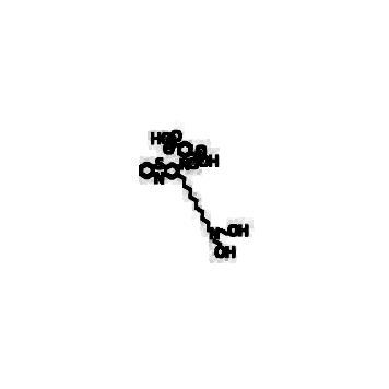 O=S(=O)(O)c1ccc(S(=O)(=O)O)c(N=c2cc3sc4ccccc4nc-3cc2CCCCCCCCCCN(CCO)CCO)c1